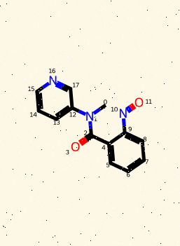 CN(C(=O)c1ccccc1N=O)c1cccnc1